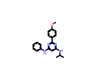 COc1ccc(-c2nc(Nc3ccccc3)cc(NC(C)C)n2)cc1